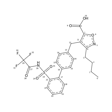 CCCCc1noc(C(=O)O)c1Cc1ccc(-c2ccccc2S(=O)(=O)NC(=O)C(F)(F)F)cc1